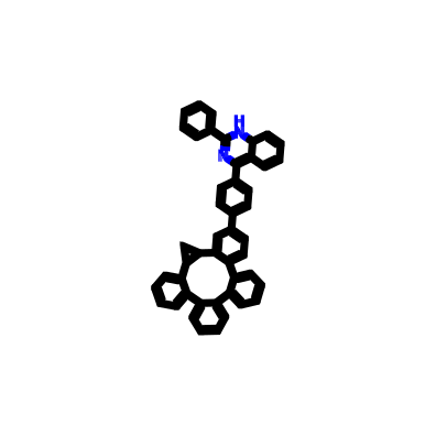 C1=CC2=C(c3ccc(-c4ccc5c(c4)C4CC4c4ccccc4-c4ccccc4-c4ccccc4-5)cc3)N=C(c3ccccc3)NC2C=C1